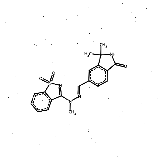 CN(/N=C/c1ccc2c(c1)C(C)(C)NC2=O)C1=NS(=O)(=O)c2ccccc21